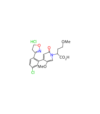 COCCC(C(=O)O)n1cc(OC)c(-c2cc(Cl)ccc2C2=NOCC2)cc1=O.Cl